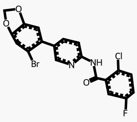 O=C(Nc1ccc(-c2cc3c(cc2Br)OCO3)cn1)c1cc(F)ccc1Cl